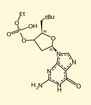 CCOP(=O)(O)OC1C[C@H](n2cnc3c(=O)[nH]c(N)nc32)O[C@@H]1CC(C)(C)C